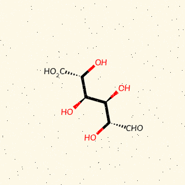 O=C[C@H](O)[C@H](O)[C@@H](O)[C@@H](O)C(=O)O